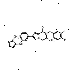 C[C@H]1Cn2cc(-c3ccnc(Nc4ccnn4C)n3)nc2C(=O)N1Cc1ccc(F)c(F)c1